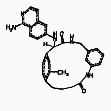 Cc1cc2ccc1CCCC(=O)Nc1cccc(c1)CNC(=O)[C@@H]2Nc1ccc2c(N)nccc2c1